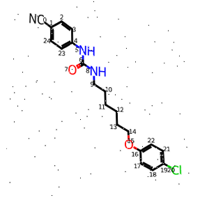 N#Cc1ccc(NC(=O)NCCCCCCOc2ccc(Cl)cc2)cc1